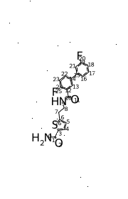 NC(=O)c1ccc(CCNC(=O)c2cc(-c3cccc(F)c3)ccc2F)s1